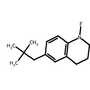 CC(C)(C)Cc1ccc2c(c1)[C]CCN2F